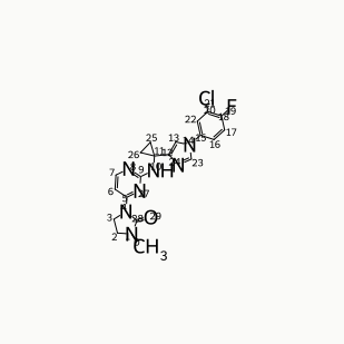 CN1CCN(c2ccnc(NC3(c4cn(-c5ccc(F)c(Cl)c5)cn4)CC3)n2)C1=O